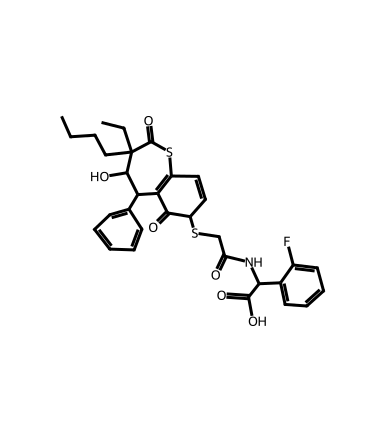 CCCCC1(CC)C(=O)SC2=C(C(=O)C(SCC(=O)NC(C(=O)O)c3ccccc3F)C=C2)C(c2ccccc2)C1O